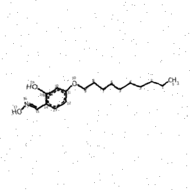 CCCCCCCCCCOc1ccc(C=NO)c(O)c1